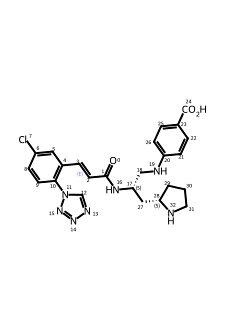 O=C(/C=C/c1cc(Cl)ccc1-n1cnnn1)N[C@H](CNc1ccc(C(=O)O)cc1)C[C@@H]1CCCN1